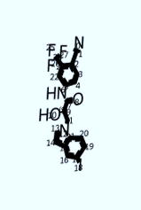 N#Cc1ccc(NC(=O)[C@@H](O)Cn2ccc3cc(I)ccc32)cc1C(F)(F)F